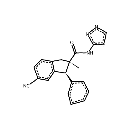 C[C@@]1(C(=O)Nc2nncs2)Cc2ccc(C#N)cc2[C@@H]1c1ccccc1